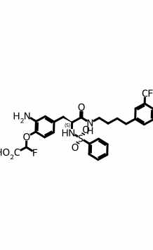 Nc1cc(C[C@H](NS(=O)(=O)c2ccccc2)C(=O)NCCCCc2cccc(C(F)(F)F)c2)ccc1OC(F)C(=O)O